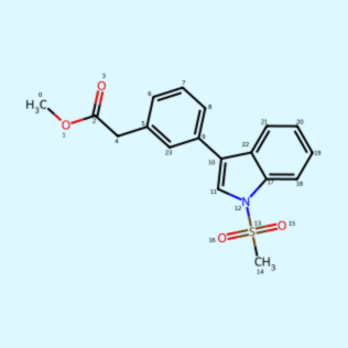 COC(=O)Cc1cccc(-c2cn(S(C)(=O)=O)c3ccccc23)c1